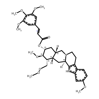 COOC[C@H]1[C@H]2C[C@@H]3c4[nH]c5cc(OC)ccc5c4CCN3C[C@H]2C[C@@H](OC(=O)/C=C/c2cc(OC)c(OC)c(OC)c2)[C@@H]1OC